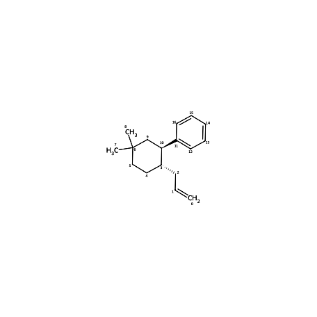 C=CC[C@@H]1CCC(C)(C)C[C@H]1c1ccccc1